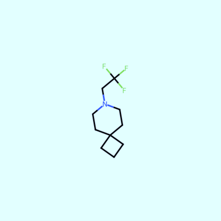 FC(F)(F)CN1CCC2(CCC2)CC1